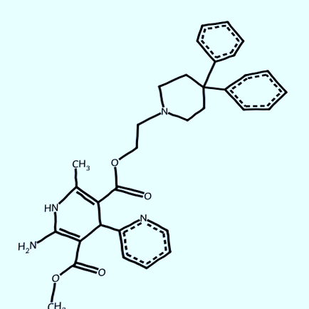 COC(=O)C1=C(N)NC(C)=C(C(=O)OCCN2CCC(c3ccccc3)(c3ccccc3)CC2)C1c1ccccn1